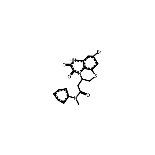 CN(C(=O)CC1CSc2cc(Br)cc3[nH]c(=O)c(=O)n1c23)c1ccccc1